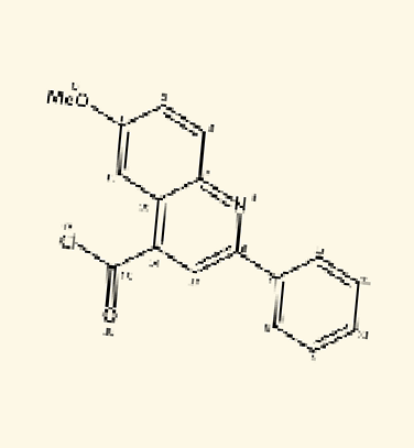 COc1ccc2nc(-c3ccccc3)cc(C(=O)Cl)c2c1